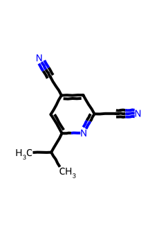 CC(C)c1cc(C#N)cc(C#N)n1